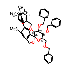 CSc1cc2c(cc1C#C[Si](C)(C)C)[C@]1(OC2)O[C@H](COCc2ccccc2)[C@@H](OCc2ccccc2)[C@H](OCc2ccccc2)[C@H]1OCc1ccccc1